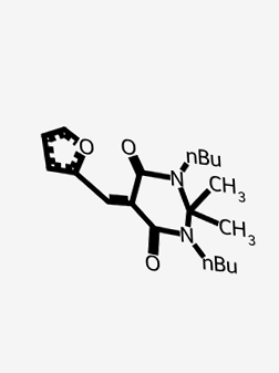 CCCCN1C(=O)C(=Cc2ccco2)C(=O)N(CCCC)C1(C)C